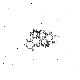 COc1ccccc1-c1nnnn1Cc1c(F)cccc1Cl